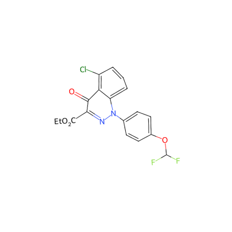 CCOC(=O)c1nn(-c2ccc(OC(F)F)cc2)c2cccc(Cl)c2c1=O